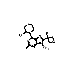 CC1COCCN1c1nc(Cl)nc2c1nc(C1(F)COC1)n2C